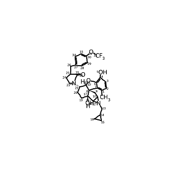 Cc1ccc(O)c2c1[C@]13CC4[C@@H](N4CC4CC4)[C@]1(O)CC[C@H](N1CCC(Cc4ccc(OC(F)(F)F)cc4)C1=O)[C@@H]3O2